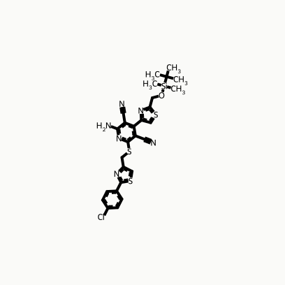 CC(C)(C)[Si](C)(C)OCc1nc(-c2c(C#N)c(N)nc(SCc3csc(-c4ccc(Cl)cc4)n3)c2C#N)cs1